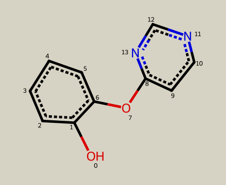 Oc1ccccc1Oc1ccncn1